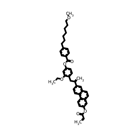 C=CC(=O)Oc1ccc2c(ccc3cc(C(=C)Cc4ccc(OC(=O)c5ccc(CCCCCCCOC)cc5)cc4OCC)ccc32)c1